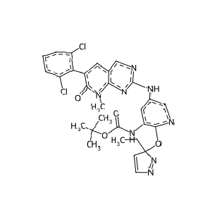 CCC1(Oc2ncc(Nc3ncc4cc(-c5c(Cl)cccc5Cl)c(=O)n(C)c4n3)cc2NC(=O)OC(C)(C)C)C=CN=N1